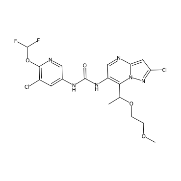 COCCOC(C)c1c(NC(=O)Nc2cnc(OC(F)F)c(Cl)c2)cnc2cc(Cl)nn12